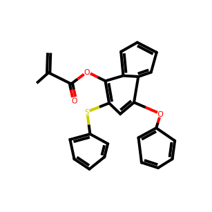 C=C(C)C(=O)Oc1c(Sc2ccccc2)cc(Oc2ccccc2)c2ccccc12